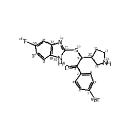 O=C(c1ccc(Br)cc1)C(Sc1nc2cc(F)ccc2[nH]1)C1CCNC1